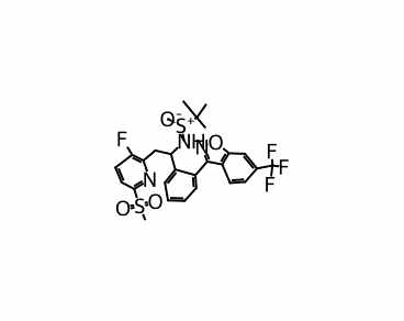 CC(C)(C)[S@+]([O-])NC(Cc1nc(S(C)(=O)=O)ccc1F)c1ccccc1-c1noc2cc(C(F)(F)F)ccc12